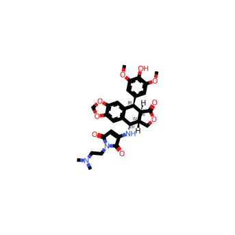 COc1cc([C@@H]2c3cc4c(cc3[C@@H](NC3=CC(=O)N(CCN(C)C)C3=O)[C@H]3COC(=O)[C@H]23)OCO4)cc(OC)c1O